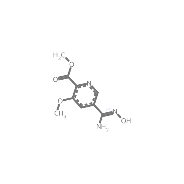 COC(=O)c1ncc(/C(N)=N/O)cc1OC